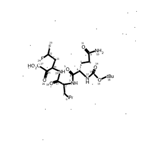 CC(C)CC(NC(=O)[C@H](CCC(N)=O)NC(=O)OC(C)(C)C)C(=O)NC(CC(F)F)C(=O)C(=O)O